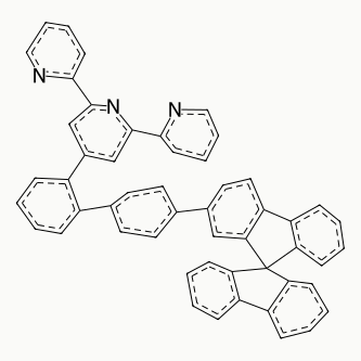 c1ccc(-c2cc(-c3ccccc3-c3ccc(-c4ccc5c(c4)C4(c6ccccc6-c6ccccc64)c4ccccc4-5)cc3)cc(-c3ccccn3)n2)nc1